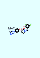 COc1cc(OC2CCCN(C(C)c3cc(F)cc(F)c3)C2=O)ccc1-n1cnc(C)c1